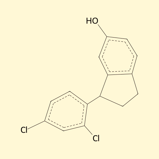 Oc1ccc2c(c1)C(c1ccc(Cl)cc1Cl)CC2